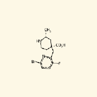 C[C@@H]1C[C@](Cc2nc(Br)ccc2F)(C(=O)O)CCN1